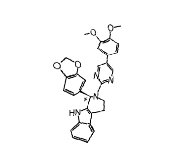 COc1ccc(-c2cnc(N3CCc4c([nH]c5ccccc45)[C@H]3c3ccc4c(c3)OCO4)nc2)cc1OC